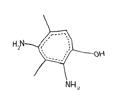 Cc1cc(O)c(N)c(C)c1N